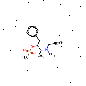 C#CCN(C)C(C)C(Cc1ccccc1)OS(C)(=O)=O